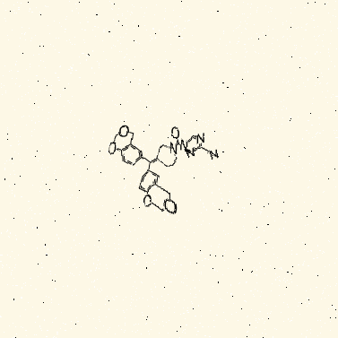 N#Cc1ncn(C(=O)N2CCCC(=C(c3ccc4c(c3)COCO4)c3ccc4c(c3)COCO4)CC2)n1